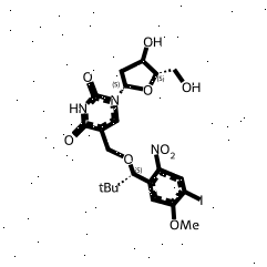 COc1cc([C@@H](OCc2cn([C@@H]3CC(O)[C@H](CO)O3)c(=O)[nH]c2=O)C(C)(C)C)c([N+](=O)[O-])cc1I